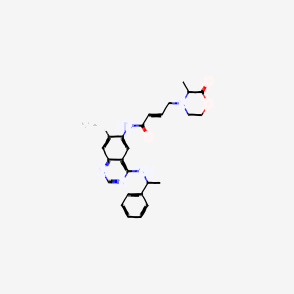 COc1cc2ncnc(NC(C)c3ccccc3)c2cc1NC(=O)C=CCN1CCOC(=O)C1C